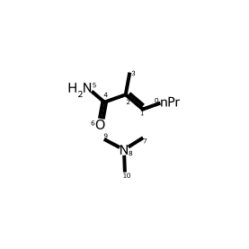 CCC/C=C(\C)C(N)=O.CN(C)C